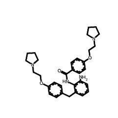 Nc1cccc(Cc2ccc(OCCN3CCCC3)cc2)c1NC(=O)c1ccc(OCCN2CCCC2)cc1